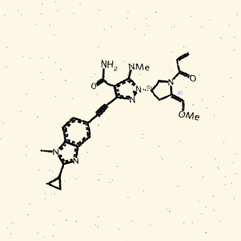 C=CC(=O)N1C[C@@H](n2nc(C#Cc3ccc4c(c3)nc(C3CC3)n4C)c(C(N)=O)c2NC)C/C1=C\OC